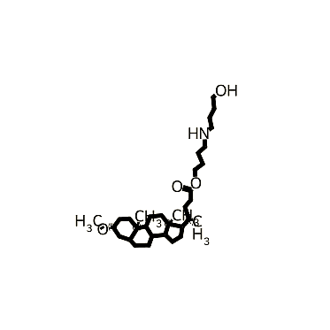 CO[C@@H]1CC[C@@]2(C)C(CCC3C2CC[C@@]2(C)C3CCC2[C@H](C)CCC(=O)OCCCCNCCCCO)C1